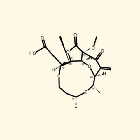 C=C1C(=O)[C@]2(OC)C(=O)O[C@@]34C[C@H](C)C(C(=O)O)=C[C@@H]3CCC[C@@H](C)C[C@@H](C)[C@H]1O[C@H]24